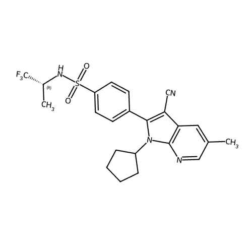 Cc1cnc2c(c1)c(C#N)c(-c1ccc(S(=O)(=O)N[C@H](C)C(F)(F)F)cc1)n2C1CCCC1